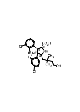 CC(C)(CCO)C[C@@H]1N[C@@H](C(=O)O)[C@H](c2cccc(Cl)c2F)[C@@]1(N)c1ccc(Cl)cc1F